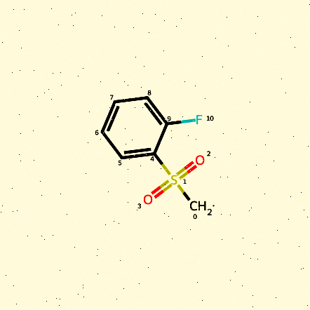 [CH2]S(=O)(=O)c1ccccc1F